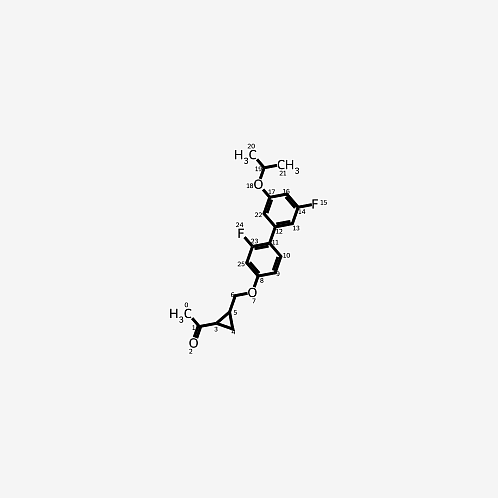 CC(=O)C1CC1COc1ccc(-c2cc(F)cc(OC(C)C)c2)c(F)c1